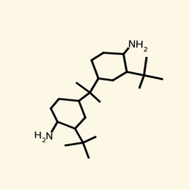 CC(C)(C)C1CC(C(C)(C)C2CCC(N)C(C(C)(C)C)C2)CCC1N